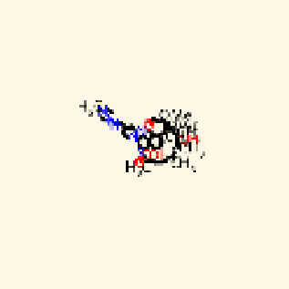 CO[C@H]1/C=C/OCC2=C3C4=C(O)C#CC2C(C)[C@@H]1[C@@H](OC(C)=O)[C@H](C)[C@H](O)[C@H](C)C[C@@H](C)/C=C/C=C(/C)C(=O)/N=C(\C4=O)c1c3nc2cc(/C=N/N3CCN(C)CC3)ccn12